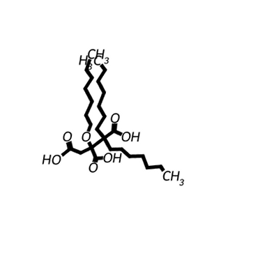 CCCCCCCOC(CC(=O)O)(C(=O)O)C(CCCCCCC)(CCCCCCC)C(=O)O